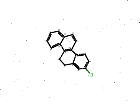 Clc1ccc2c(c1)CCc1c-2ccc2ccccc12